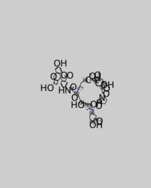 CO[C@H]1C[C@@H](C)C/C(C)=C/[C@@H](CC(=O)Nc2ccc3c(c2)C(=O)OC32c3ccc(O)cc3Oc3cc(O)ccc32)C(=O)C[C@H](O)[C@@H](C)[C@@H](/C(C)=C/[C@@H]2CC[C@@H](O)[C@H](OC)C2)OC(=O)[C@@H]2CCCCN2C(=O)C(=O)[C@]2(O)C[C@H]1[C@@H](OC)C[C@H]2C